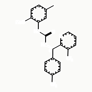 COc1ccc(C)cc1NC(=O)N[C@@H](c1ccc(C(F)(F)F)cc1)c1ncccc1C(F)(F)F